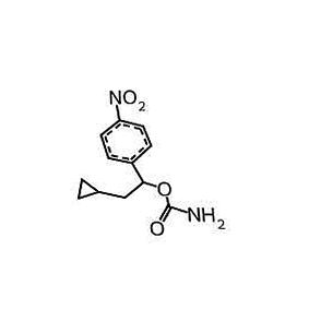 NC(=O)OC(CC1CC1)c1ccc([N+](=O)[O-])cc1